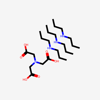 CCCNCCC.CCCNCCC.CCCNCCC.O=C(O)CN(CC(=O)O)CC(=O)O